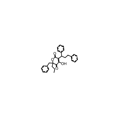 CCCC1(Cc2ccccc2)OC(=O)C(C(CCc2ccccc2)c2ccccc2)=C(O)C1=O